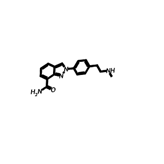 CNCCc1ccc(-n2cc3cccc(C(N)=O)c3n2)cc1